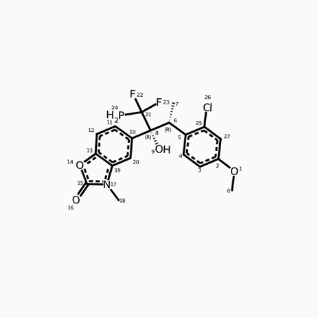 COc1ccc([C@@H](C)[C@@](O)(c2ccc3oc(=O)n(C)c3c2)C(F)(F)P)c(Cl)c1